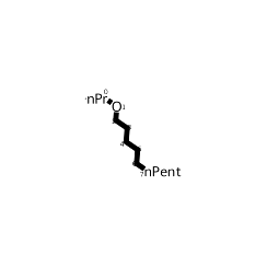 CC[CH]OCCCCCCCCCC